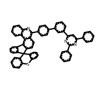 c1ccc(-c2cc(-c3cccc(-c4ccc(-c5nc6ccccc6c6c7c(ccc56)C5(c6ccccc6Sc6ccccc65)c5ccccc5-7)cc4)c3)nc(-c3ccccc3)n2)cc1